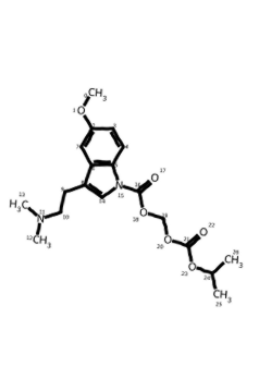 COc1ccc2c(c1)c(CCN(C)C)cn2C(=O)OCOC(=O)OC(C)C